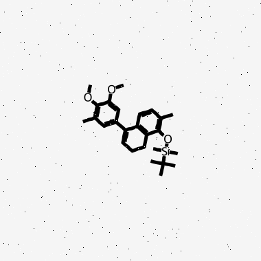 COc1cc(C2=CCCc3c2ccc(C)c3O[Si](C)(C)C(C)(C)C)cc(C)c1OC